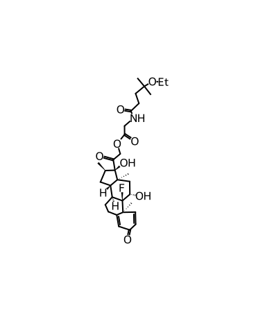 CCOC(C)(C)CCC(=O)NCC(=O)OCC(=O)[C@@]1(O)[C@H](C)C[C@H]2[C@@H]3CCC4=CC(=O)C=C[C@]4(C)[C@@]3(F)[C@@H](O)C[C@@]21C